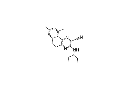 CCC(CC)Nc1nc2c(nc1C#N)-c1c(C)cc(C)cc1CC2